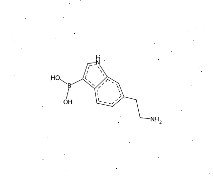 NCCc1ccc2c(B(O)O)c[nH]c2c1